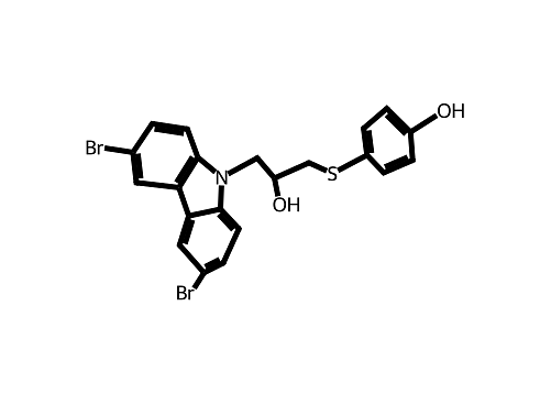 Oc1ccc(SCC(O)Cn2c3ccc(Br)cc3c3cc(Br)ccc32)cc1